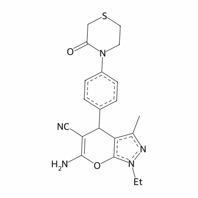 CCn1nc(C)c2c1OC(N)=C(C#N)C2c1ccc(N2CCSCC2=O)cc1